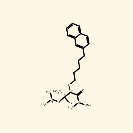 CON(C)C(=O)[C@H](OCCCCCc1ccc2ccccc2c1)[C@@](O[SiH](C)C)(C(=O)O)C(C)(C)C